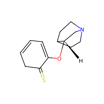 S=C1CC=CC=C1O[C@H]1CN2CCC1CC2